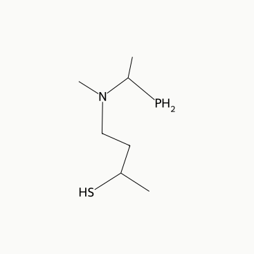 CC(S)CCN(C)C(C)P